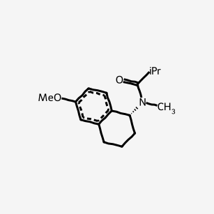 COc1ccc2c(c1)CCC[C@H]2N(C)C(=O)C(C)C